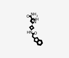 NC(=O)c1cc([C@H]2C[C@@H](NC(=O)CC3Cc4ccccc4C3)C2)n[nH]1